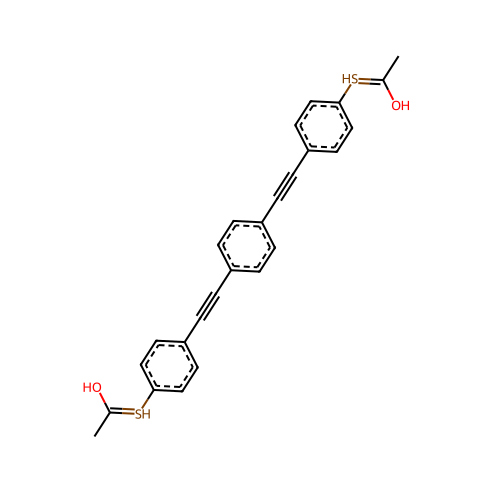 CC(O)=[SH]c1ccc(C#Cc2ccc(C#Cc3ccc([SH]=C(C)O)cc3)cc2)cc1